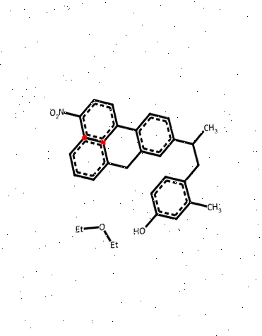 CCOCC.Cc1cc(O)ccc1CC(C)c1ccc(-c2ccc([N+](=O)[O-])cc2)c(Cc2ccccc2)c1